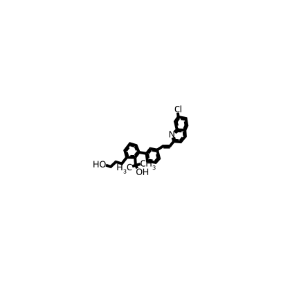 CC(C)(O)c1c(CCCO)cccc1-c1cccc(C=Cc2ccc3ccc(Cl)cc3n2)c1